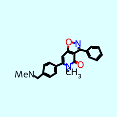 CNCc1ccc(-c2cc3onc(-c4ccccc4)c3c(=O)n2C)cc1